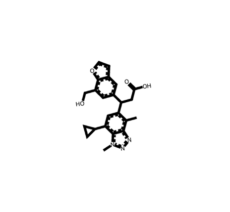 Cc1c(C(CC(=O)O)c2cc(CO)c3occc3c2)cc(C2CC2)c2c1nnn2C